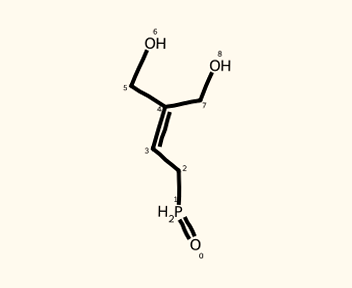 O=[PH2]CC=C(CO)CO